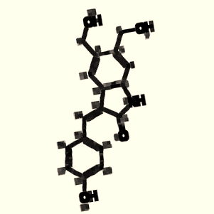 O=C1Nc2cc(CO)c(CO)cc2C1=Cc1ccc(O)cc1